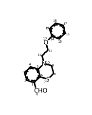 O=Cc1cccc2c1SCCN2CCOc1ccccc1